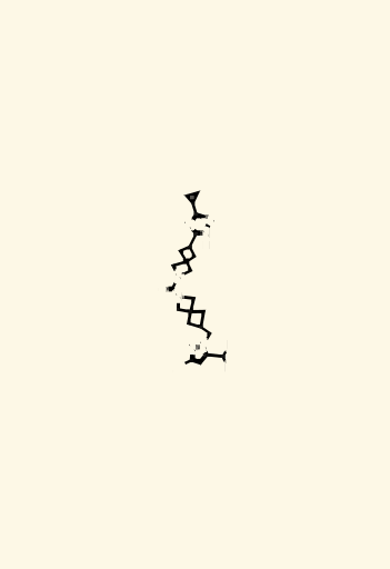 Cc1cc(C(F)F)n(CC2CC3(C2)CN(C(=O)N2CC4(CC(c5nc(C6CC6)n[nH]5)C4)C2)C3)n1